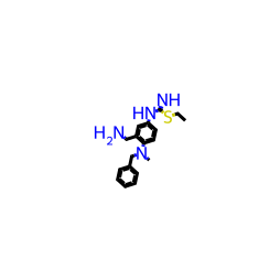 CCSC(=N)Nc1ccc(N(C)Cc2ccccc2)c(CN)c1